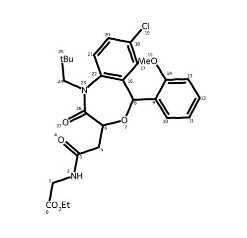 CCOC(=O)CNC(=O)CC1OC(c2ccccc2OC)c2cc(Cl)ccc2N(CC(C)(C)C)C1=O